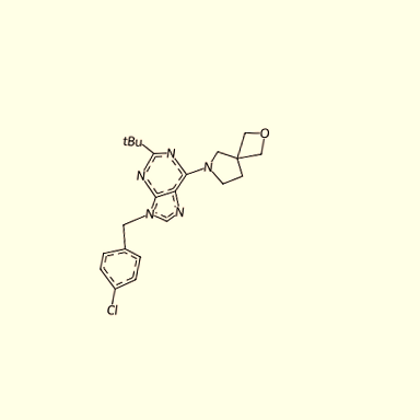 CC(C)(C)c1nc(N2CCC3(COC3)C2)c2ncn(Cc3ccc(Cl)cc3)c2n1